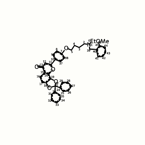 CCN(CCCCOc1ccc(-c2cc(=O)c3ccc4c(c3o2)OC(c2ccccc2)(c2ccccc2)O4)cc1)Cc1ccccc1OC